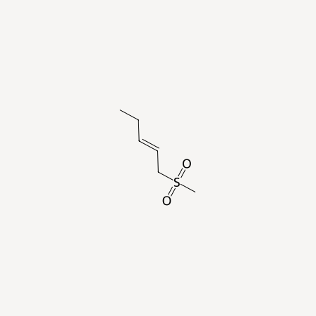 CCC=CCS(C)(=O)=O